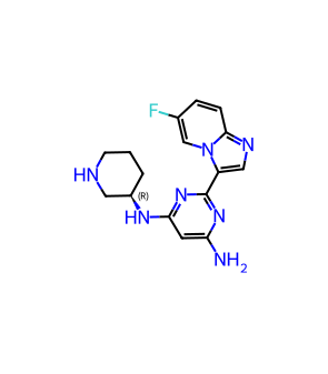 Nc1cc(N[C@@H]2CCCNC2)nc(-c2cnc3ccc(F)cn23)n1